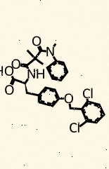 CN(C(=O)C(C)(C)C(=O)N[C@@H](Cc1ccc(OCc2c(Cl)cccc2Cl)cc1)C(=O)O)c1ccccc1